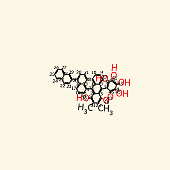 Cc1c(C)c2c3c(c4ccccc4c(-c4cccc5c(-c6ccc7ccccc7c6)cccc45)c3c1O)-c1c(O)c(O)c(O)c(O)c1OO2